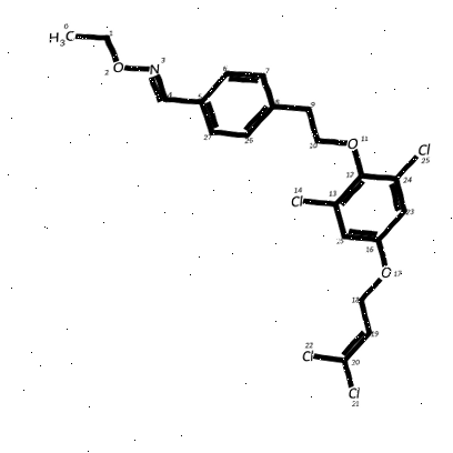 CCON=Cc1ccc(CCOc2c(Cl)cc(OCC=C(Cl)Cl)cc2Cl)cc1